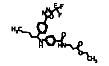 CCCCC(Nc1ccc(C(=O)NCCC(=O)OCC)cc1)c1ccc(-c2nnc(C(F)(F)F)o2)cc1